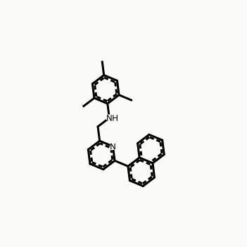 Cc1cc(C)c(NCc2cccc(-c3cccc4ccccc34)n2)c(C)c1